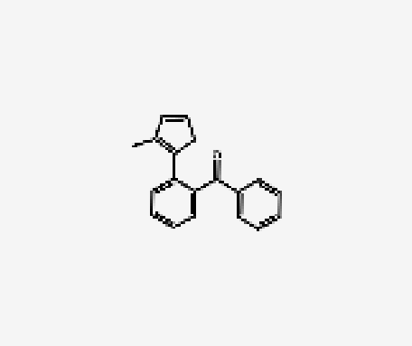 CC1=C(c2ccccc2C(=O)c2ccccc2)CC=C1